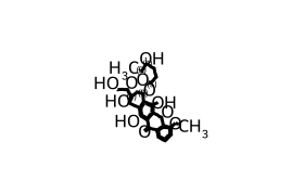 COc1cccc2c1C(=O)c1c(O)c3c(c(O)c1C2=O)C[C@](O)(C(=O)CO)C[C@H]3O[C@@H]1CC[C@@H](O)[C@@H](C)O1